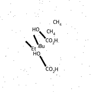 C.C.CCC.CCC(C)C.O=C(O)O.O=C(O)O